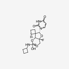 O=c1ccn([C@@H]2O[C@]3(F)CO[PH](O)(NC4CCC4)O[C@H]3C23CCS3)c(=O)[nH]1